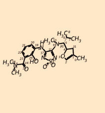 CC1=COC([C@@H](C(C)C)N(C)C2=NS(=O)(=O)N=C2Nc2cccc(C(=O)N(C)C)c2O)C1